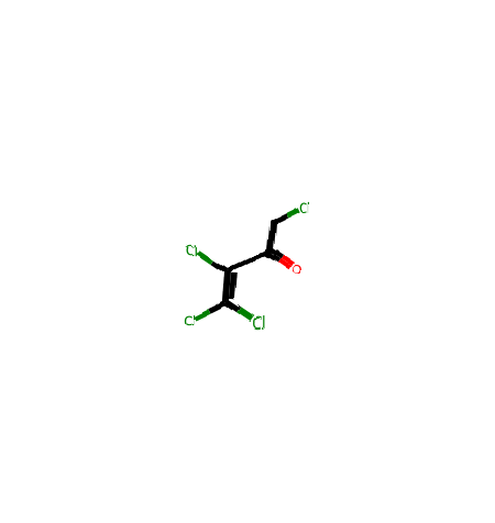 O=C(CCl)C(Cl)=C(Cl)Cl